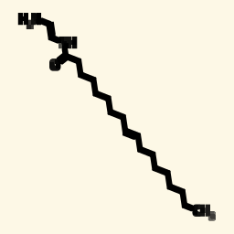 CCCCCCCCC=CCCCCCCCC(=O)NC=CN